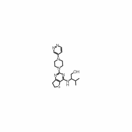 CC(C)C(CO)Nc1nc(N2CCN(c3ccnnc3)CC2)nc2c1SCC2